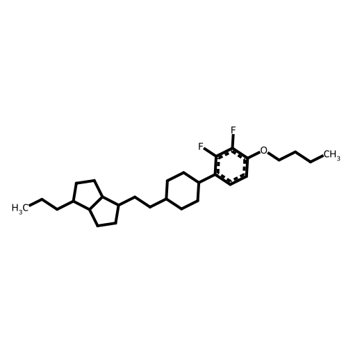 CCCCOc1ccc(C2CCC(CCC3CCC4C(CCC)CCC34)CC2)c(F)c1F